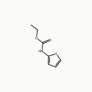 CCOC(=S)Nc1cccs1